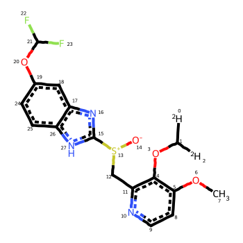 [2H]C([2H])Oc1c(OC)ccnc1C[S+]([O-])c1nc2cc(OC(F)F)ccc2[nH]1